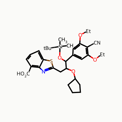 CCOc1cc(C(O[Si](C)(C)C(C)(C)C)C(Cc2nc3c(C(=O)O)cccc3s2)OC2CCCC2)cc(OCC)c1C#N